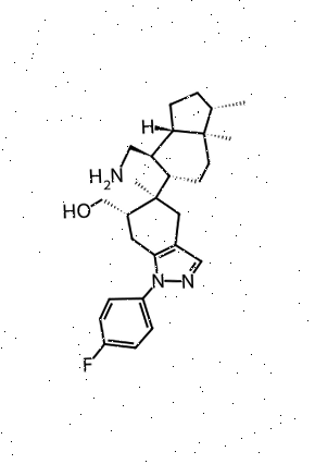 C[C@H]1CC[C@H]2[C@H](CN)[C@@H]([C@@]3(C)Cc4cnn(-c5ccc(F)cc5)c4C[C@@H]3CO)CC[C@]12C